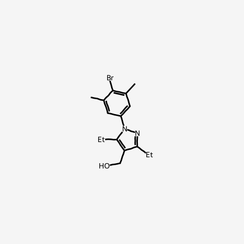 CCc1nn(-c2cc(C)c(Br)c(C)c2)c(CC)c1CO